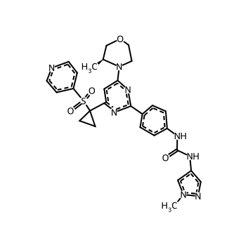 C[C@H]1COCCN1c1cc(C2(S(=O)(=O)c3ccncc3)CC2)nc(-c2ccc(NC(=O)Nc3cnn(C)c3)cc2)n1